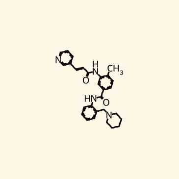 Cc1ccc(C(=O)Nc2ccccc2CN2CCCCC2)cc1NC(=O)C=Cc1cccnc1